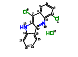 Cl.Clc1cccc2c(Cl)c3[nH]c4ccccc4c3nc12